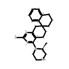 C[C@H]1CNCCN1c1nc(Cl)nc2c1CCC1(CCCc3ccccc31)C2